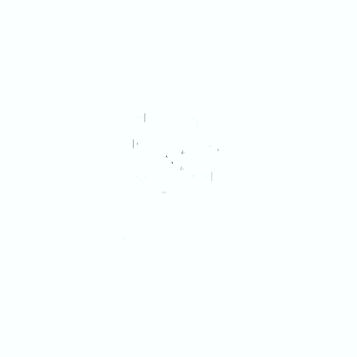 C[C@@H]1OC(=O)[C@@H]1N(C(=O)O)[C@H](C)c1ccc(-c2ccccc2)cc1